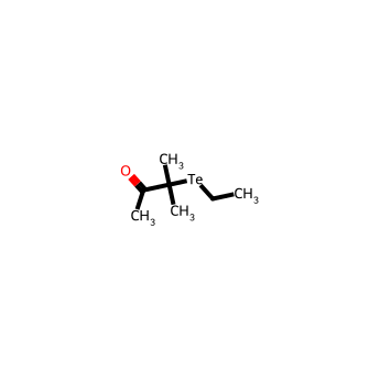 CC[Te]C(C)(C)C(C)=O